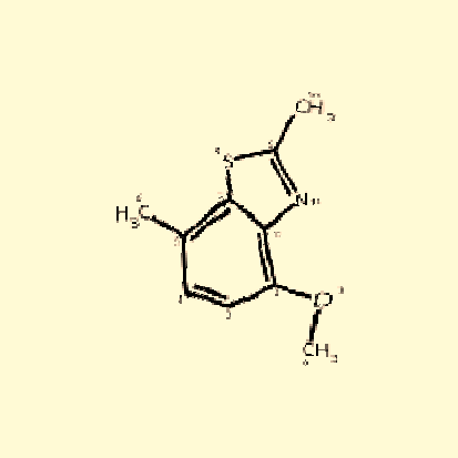 COc1ccc(C)c2sc(C)nc12